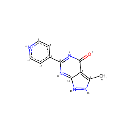 CC1=C2C(=O)N=C(c3ccncc3)N=C2N=N1